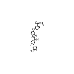 COc1cc(-c2cc(Nc3nc4cc(Oc5ccnc(C(N)=O)c5)ccc4n3C)ccc2C)ccn1